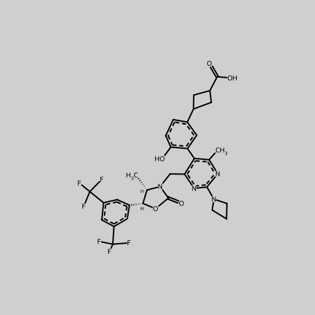 Cc1nc(N2CCC2)nc(CN2C(=O)O[C@H](c3cc(C(F)(F)F)cc(C(F)(F)F)c3)[C@@H]2C)c1-c1cc(C2CC(C(=O)O)C2)ccc1O